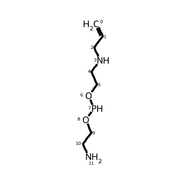 C=CCNCCOPOCCN